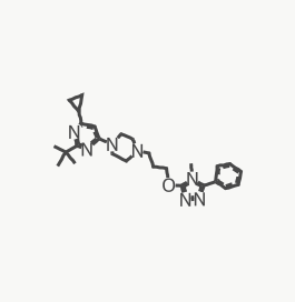 Cn1c(OCCCN2CCN(c3cc(C4CC4)nc(C(C)(C)C)n3)CC2)nnc1-c1ccccc1